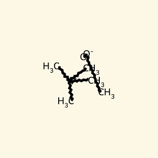 CCCCCCCCCCCCCCCCCC(=O)[O-].CCCCCCCCC[N+](CCCCCCCCC)(CCCCCCCCC)CCCCCCCCC